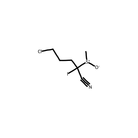 C[S+]([O-])C(I)(C#N)CCCCl